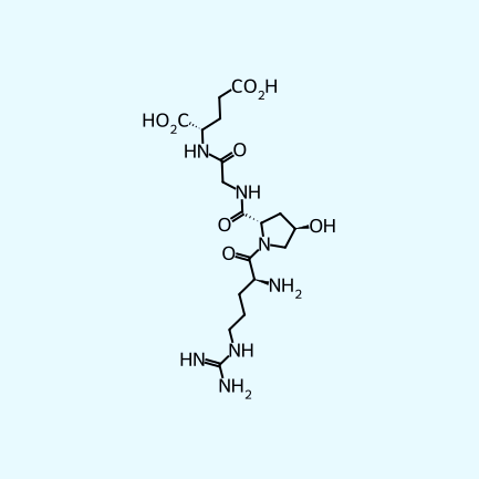 N=C(N)NCCC[C@H](N)C(=O)N1C[C@H](O)C[C@H]1C(=O)NCC(=O)N[C@@H](CCC(=O)O)C(=O)O